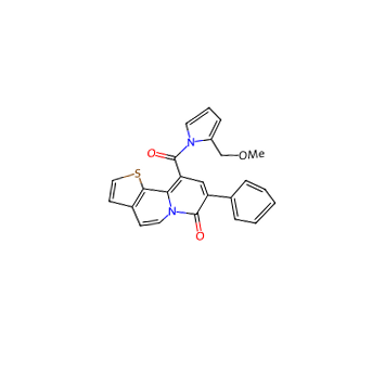 COCc1cccn1C(=O)c1cc(-c2ccccc2)c(=O)n2ccc3ccsc3c12